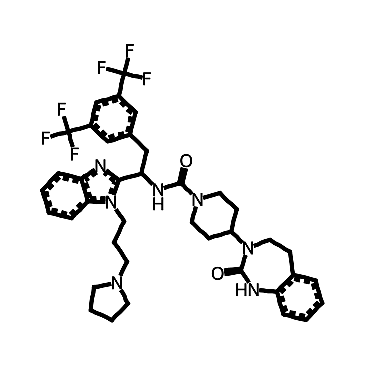 O=C(NC(Cc1cc(C(F)(F)F)cc(C(F)(F)F)c1)c1nc2ccccc2n1CCCN1CCCC1)N1CCC(N2CCc3ccccc3NC2=O)CC1